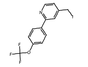 FC(F)(F)Oc1ccc(-c2cc(CI)ccn2)cc1